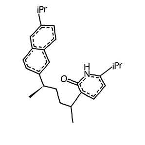 CC(C)c1ccc2cc([C@H](C)CCC(C)c3ccc(C(C)C)[nH]c3=O)ccc2c1